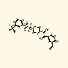 C=Cc1cc(C(=O)C(=O)N2CCC(C(C)(C)S(=O)(=O)c3cccc(C(F)(F)F)c3)CC2)ccc1F